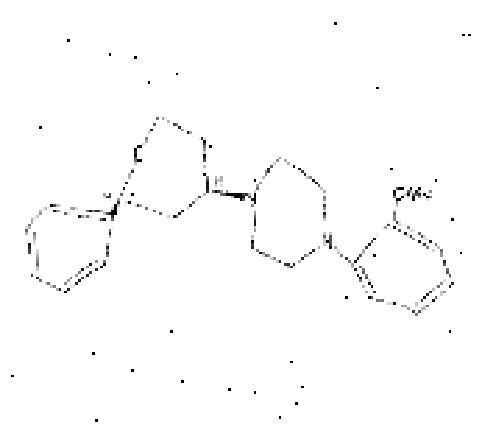 COc1ccccc1N1CCN([C@@H]2CCC[C@H](c3ccccc3)C2)CC1